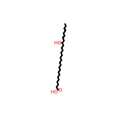 CCC=CCC=CCC(O)CCCCCCCCCCCCCCCCCCC(=O)O